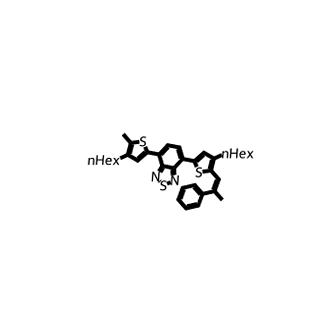 CCCCCCc1cc(-c2ccc(-c3cc(CCCCCC)c(C=C(C)c4ccccc4)s3)c3nsnc23)sc1C